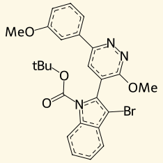 COc1cccc(-c2cc(-c3c(Br)c4ccccc4n3C(=O)OC(C)(C)C)c(OC)nn2)c1